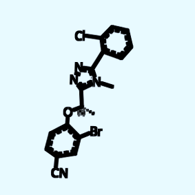 C[C@H](Oc1ccc(C#N)cc1Br)c1nnc(-c2ccccc2Cl)n1C